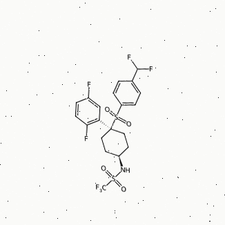 O=S(=O)(N[C@H]1CC[C@@](c2cc(F)ccc2F)(S(=O)(=O)c2ccc(C(F)F)cc2)CC1)C(F)(F)F